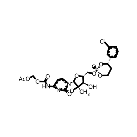 CC(=O)OCOC(=O)Nc1ccn([C@@H]2O[C@H](COP3(=O)OCC[C@@H](c4cccc(Cl)c4)O3)[C@@H](O)[C@@]2(C)O)c(=O)n1